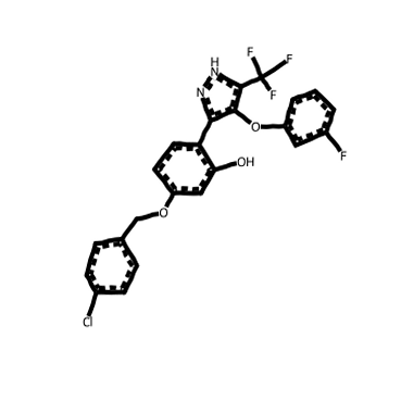 Oc1cc(OCc2ccc(Cl)cc2)ccc1-c1n[nH]c(C(F)(F)F)c1Oc1cccc(F)c1